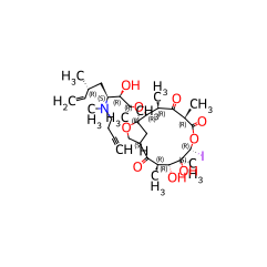 C#CCCN(C)[C@@H](C[C@@H](C)C=C)[C@@H](O)[C@@H](C)O[C@@H]1[C@@H](C)C(=O)[C@@H](C)C(=O)O[C@H](I)[C@@](C)(O)[C@H](O)[C@@H](C)C(=O)[C@@H]2CO[C@]1(C)C2